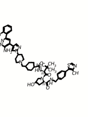 Cc1ncsc1-c1ccc(CNC(=O)[C@@H]2C[C@@H](O)CN2C(=O)[C@@H](NC(=O)C2CCC(CN3CCC(n4cc(-c5cc(-c6ccccc6O)nnc5N)cn4)CC3)CC2)C(C)(C)C)cc1